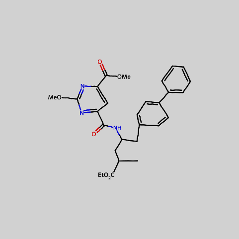 CCOC(=O)C(C)CC(Cc1ccc(-c2ccccc2)cc1)NC(=O)c1cc(C(=O)OC)nc(OC)n1